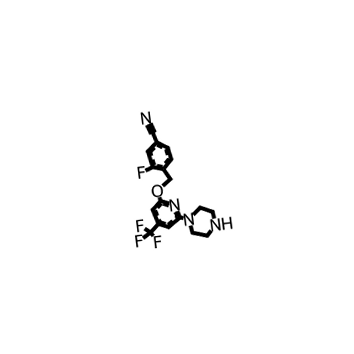 N#Cc1ccc(COc2cc(C(F)(F)F)cc(N3CCNCC3)n2)c(F)c1